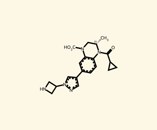 C[C@H]1CN(C(=O)O)c2cc(-c3cnn(C4CNC4)c3)ccc2N1C(=O)C1CC1